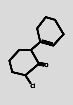 O=C1C(Cl)CCCC1C1=CCCCC1